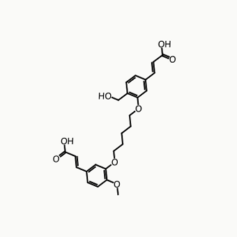 COc1ccc(/C=C/C(=O)O)cc1OCCCCCOc1cc(/C=C/C(=O)O)ccc1CO